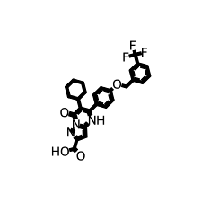 O=C(O)c1cc2[nH]c(-c3ccc(OCc4cccc(C(F)(F)F)c4)cc3)c(C3CCCCC3)c(=O)n2n1